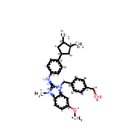 COc1ccc2c(c1)n(Cc1ccc(CO)cc1)/c(=N\c1ccc(C3CC(C)C(C)C3)cc1)n2C